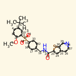 COc1ccc(C(C)(C)C)cc1S(=O)(=O)c1ccc(CNC(=O)c2cc3ccncc3s2)cc1